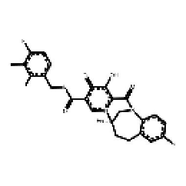 Cc1c(F)ccc(CNC(=O)c2cn3c(c(O)c2=O)C(=O)N2C[C@H]3CCc3cc(F)ccc32)c1F